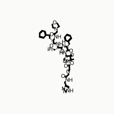 CC[C@@](C)(OC(=O)COCC(=O)NCc1c[nH]nn1)C(=O)[C@H](CC(C)C)NC(=O)[C@H](Cc1ccccc1)NC(=O)[C@H](CC(C)C)NC(=O)[C@H](CCc1ccccc1)NC(=O)CN1CCOCC1